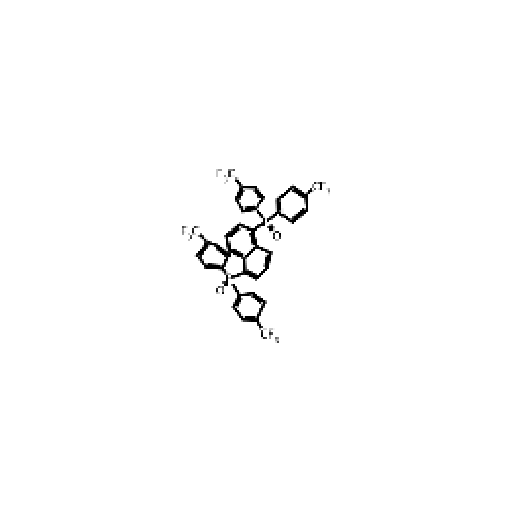 O=P(c1ccc(C(F)(F)F)cc1)(c1ccc(C(F)(F)F)cc1)c1cccc2c(P(=O)(c3ccc(C(F)(F)F)cc3)c3ccc(C(F)(F)F)cc3)cccc12